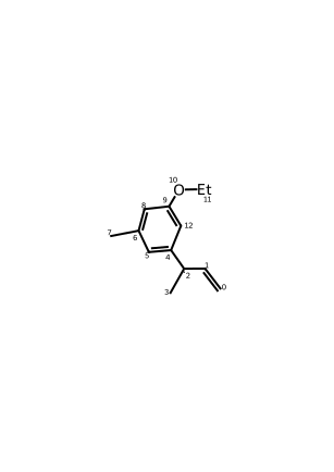 C=C[C](C)c1cc(C)cc(OCC)c1